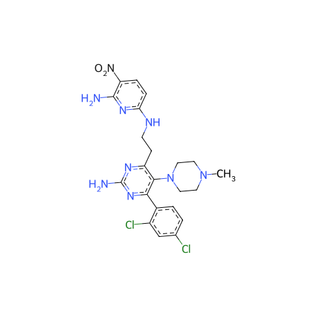 CN1CCN(c2c(CCNc3ccc([N+](=O)[O-])c(N)n3)nc(N)nc2-c2ccc(Cl)cc2Cl)CC1